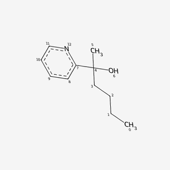 CCCCC(C)(O)c1ccccn1